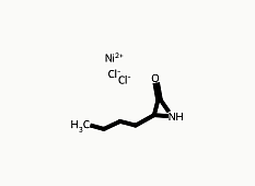 CCCCC1NC1=O.[Cl-].[Cl-].[Ni+2]